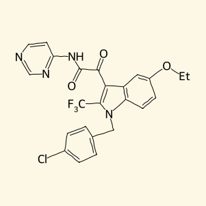 CCOc1ccc2c(c1)c(C(=O)C(=O)Nc1ccncn1)c(C(F)(F)F)n2Cc1ccc(Cl)cc1